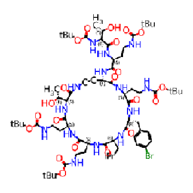 CC(C)C[C@@H]1NC(=O)[C@@H](Cc2ccc(Br)cc2)NC(=O)[C@H](CCNC(=O)OC(C)(C)C)NC(=O)[C@@H](NC(=O)[C@H](CCNC(=O)OC(C)(C)C)NC(=O)[C@@H](NC(=O)OC(C)(C)C)[C@H](C)O)CCNC(=O)[C@H]([C@@H](C)O)NC(=O)[C@H](CCNC(=O)OC(C)(C)C)NC(=O)[C@H](CCNC(=O)OC(C)(C)C)NC1=O